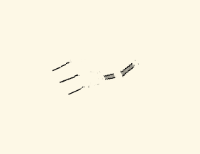 CCCCCC.CCCCCC.CCCCCC.N=C=O